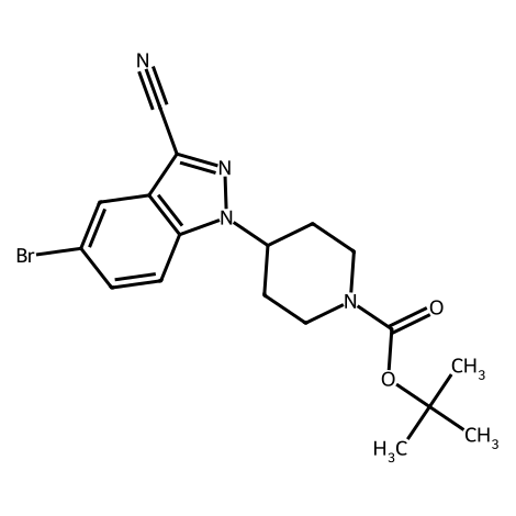 CC(C)(C)OC(=O)N1CCC(n2nc(C#N)c3cc(Br)ccc32)CC1